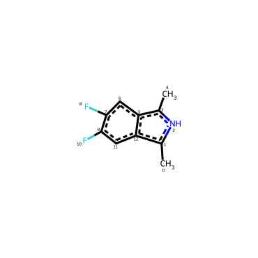 Cc1[nH]c(C)c2cc(F)c(F)cc12